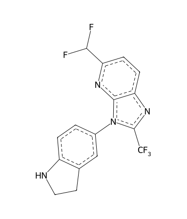 FC(F)c1ccc2nc(C(F)(F)F)n(-c3ccc4c(c3)CCN4)c2n1